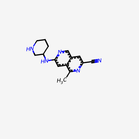 Cc1nc(C#N)cc2cnc(NC3CCCNC3)cc12